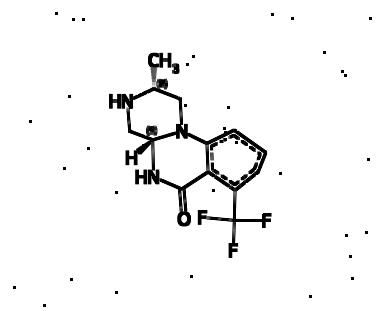 C[C@@H]1CN2c3cccc(C(F)(F)F)c3C(=O)N[C@@H]2CN1